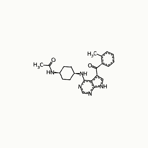 CC(=O)N[C@H]1CC[C@@H](Nc2ncnc3[nH]cc(C(=O)c4ccccc4C)c23)CC1